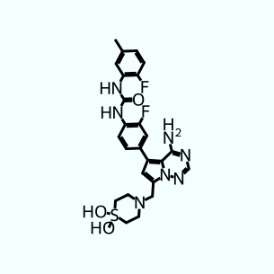 Cc1ccc(F)c(NC(=O)Nc2ccc(-c3cc(CN4CCS(O)(O)CC4)n4ncnc(N)c34)cc2F)c1